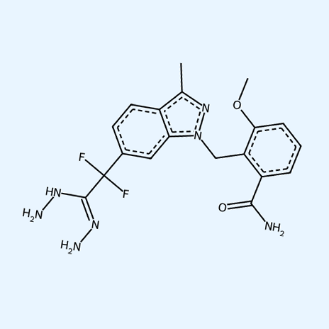 COc1cccc(C(N)=O)c1Cn1nc(C)c2ccc(C(F)(F)/C(=N/N)NN)cc21